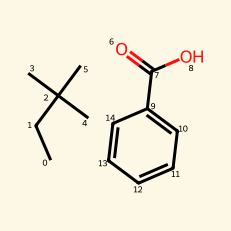 CCC(C)(C)C.O=C(O)c1ccccc1